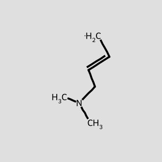 [CH2]/C=C/CN(C)C